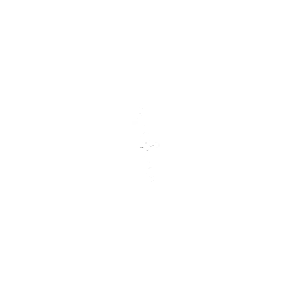 CCO[C@H]1CC[C@H](C2CCC3(CC2)C(=O)C2(CCC([C@H]4CC[C@H](OCC)CC4)CC2)C3=O)CC1